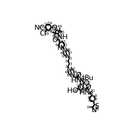 Cc1ncsc1-c1ccc([C@H](C)NC(=O)[C@@H]2C[C@@H](O)CN2C(=O)[C@@H](NC(=O)CN2CCN(CCCCN3CCN(c4ccc(C(=O)N[C@H]5C(C)(C)[C@H](Oc6ccc(C#N)c(Cl)c6)C5(C)C)cn4)CC3)CC2)C(C)(C)C)cc1